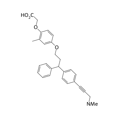 CNCC#Cc1ccc(C(CCOc2ccc(OCC(=O)O)c(C)c2)c2ccccc2)cc1